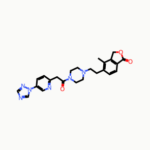 Cc1c(CCN2CCN(C(=O)Cc3ccc(-n4cncn4)cn3)CC2)ccc2c1COC2=O